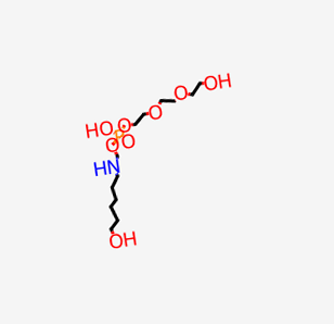 O=P(O)(OCCOCCOCCO)OCNCCCCCCO